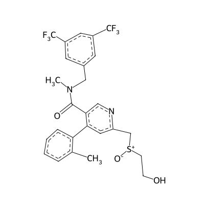 Cc1ccccc1-c1cc(C[S+]([O-])CCO)ncc1C(=O)N(C)Cc1cc(C(F)(F)F)cc(C(F)(F)F)c1